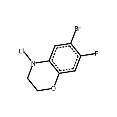 Fc1cc2c(cc1Br)N(Cl)CCO2